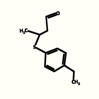 CCc1ccc(SC(C)CC=O)cc1